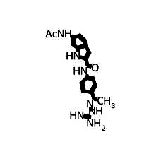 CC(=O)Nc1ccc2cc(C(=O)Nc3ccc(/C(C)=N/NC(=N)N)cc3)[nH]c2c1